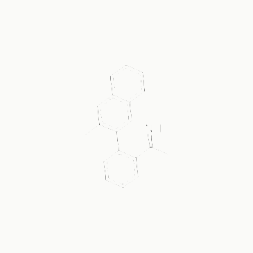 CC(=N)c1ccccc1-c1cc2ccccc2cc1C